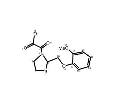 CCC(=O)C(=O)N1CCSC1COc1ccccc1OC